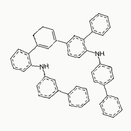 C1=C(c2ccc(Nc3ccc(-c4ccccc4)cc3)c(-c3ccccc3)c2)C=C(c2ccccc2Nc2cccc(-c3ccccc3)c2)CC1